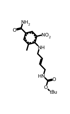 Cc1cc(C(N)=O)cc([N+](=O)[O-])c1NC/C=C/CNC(=O)OC(C)(C)C